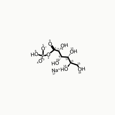 O=C(OP(=O)([O-])O)[C@H](O)[C@@H](O)[C@H](O)[C@H](O)CO.[Na+]